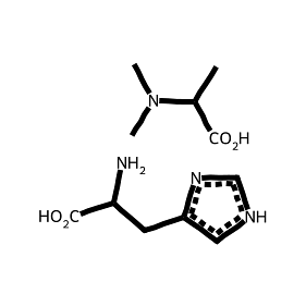 CC(C(=O)O)N(C)C.NC(Cc1c[nH]cn1)C(=O)O